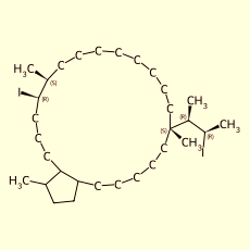 CC1CCC2CCCCC[C@@](C)([C@@H](C)[C@@H](C)I)CCCCCCCC[C@H](C)[C@H](I)CCCC12